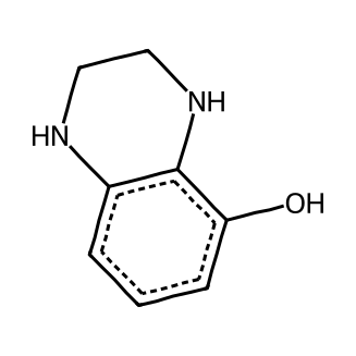 Oc1cccc2c1NCCN2